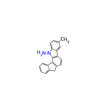 Cc1ccc2c(c1)c1ccc3c(c1n2N)-c1ccccc1C3